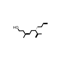 C=CCC[C@@H](C/C=C(/C)CCO)C(=C)C